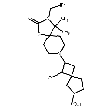 CCC1C(N2CCC3(CC2)OC(=O)N(CC(C)C)C3(C)C)CC12CCN(C(=O)O)C2